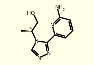 C[C@@H](CO)n1cnnc1-c1cccc(N)n1